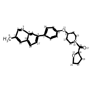 Cc1cnc2cc(-c3ccc(OC4CCN(C(=O)C5CCCO5)CC4)cc3)ccc2c1